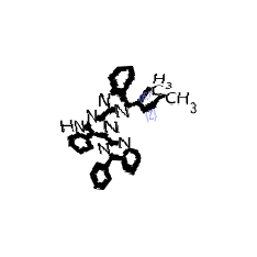 C/C=C(\C=C/CC)c1nc(-c2nc(-c3nc(-c4ccccc4)c4ccccc4n3)c3c(n2)[nH]c2ccccc23)nc2ccccc12